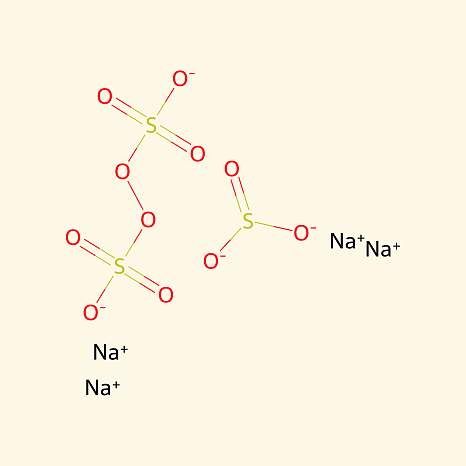 O=S(=O)([O-])OOS(=O)(=O)[O-].O=S([O-])[O-].[Na+].[Na+].[Na+].[Na+]